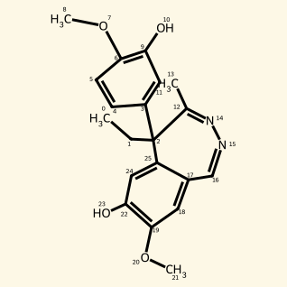 CCC1(c2ccc(OC)c(O)c2)C(C)=NN=Cc2cc(OC)c(O)cc21